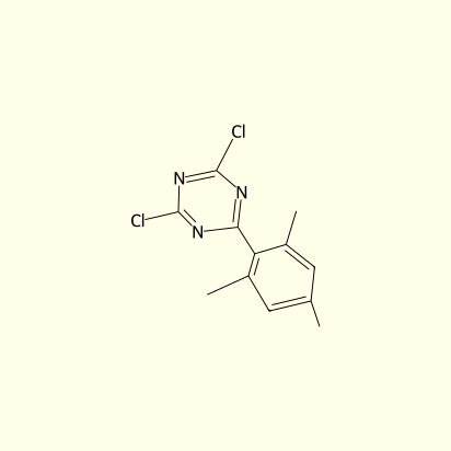 Cc1cc(C)c(-c2nc(Cl)nc(Cl)n2)c(C)c1